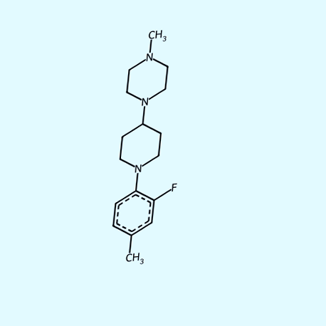 Cc1ccc(N2CCC(N3CCN(C)CC3)CC2)c(F)c1